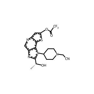 C[C@@H](O)c1nc2cnc3cc(OC(=O)C(F)(F)F)sc3c2n1C1CCN(CC#N)CC1